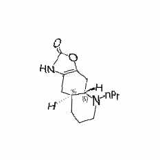 CCCN1CCC[C@H]2Cc3[nH]c(=O)oc3C[C@@H]21